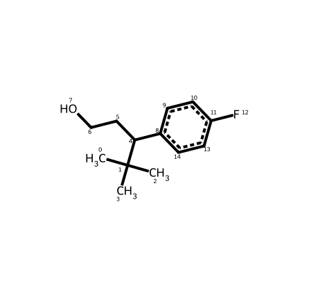 CC(C)(C)C(CCO)c1ccc(F)cc1